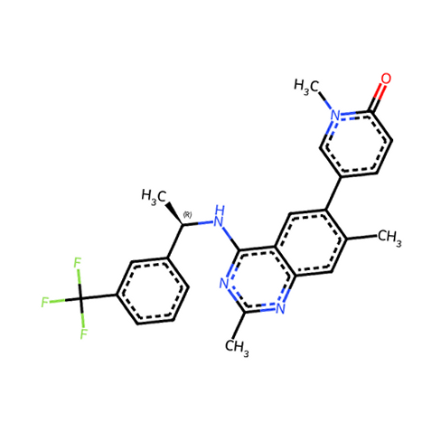 Cc1nc(N[C@H](C)c2cccc(C(F)(F)F)c2)c2cc(-c3ccc(=O)n(C)c3)c(C)cc2n1